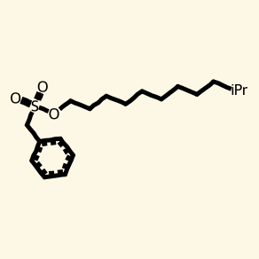 CC(C)CCCCCCCCCOS(=O)(=O)Cc1ccccc1